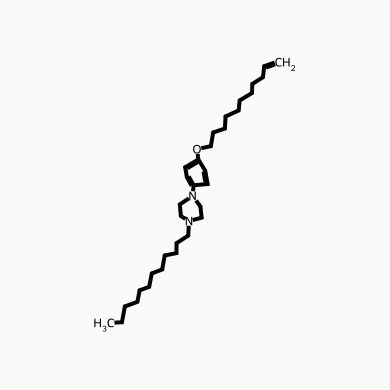 C=CCCCCCCCCCOc1ccc(N2CCN(CCCCCCCCCCCC)CC2)cc1